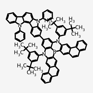 CC(C)(C)c1cc(N2c3cc4c(ccc5ccccc54)cc3B3c4cc5ccc6ccccc6c5cc4N(c4cc(C(C)(C)C)cc(C(C)(C)C)c4)c4cc(-c5ccc6c7c(ccc8c9ccccc9n(-c9ccccc9)c87)n(-c7ccccc7)c6c5)cc2c43)cc(C(C)(C)C)c1